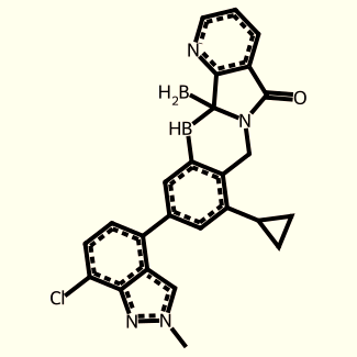 BC12Bc3cc(-c4ccc(Cl)c5nn(C)cc45)cc(C4CC4)c3CN1C(=O)c1cccnc12